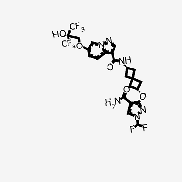 NC(=O)c1cn(C(F)F)nc1O[C@H]1CC2(C[C@H](NC(=O)c3cnn4cc(OCC(O)(C(F)(F)F)C(F)(F)F)ccc34)C2)C1